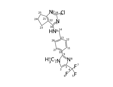 Cn1cc(C(F)(F)F)nc1-c1ccc(CNc2nc(Cl)nc3c2CCC3)cc1